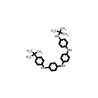 CC(C)(C)Nc1ccc(Nc2ccc(Nc3ccc(Nc4ccc(C(C)(C)C)cc4)cc3)cc2)cc1